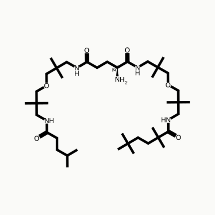 CC(C)CCC(=O)NCC(C)(C)COCC(C)(C)CNC(=O)CC[C@H](N)C(=O)NCC(C)(C)COCC(C)(C)CNC(=O)C(C)(C)CCC(C)(C)C